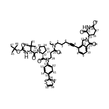 CN(CCCC#Cc1cccc2c1CN(C1CCC(=O)NC1=O)C2=O)C(=O)CCN(C(=O)[C@@H]1CCCN1C(=O)[C@@H](NC(=O)OC(C)(C)C)C(C)(C)C)c1ccc(-c2nccs2)cc1